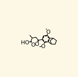 COc1cc(C(=O)CC(C)C(=O)O)c(OC)c2c1C1CCC2C1